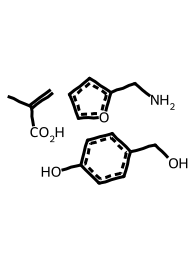 C=C(C)C(=O)O.NCc1ccco1.OCc1ccc(O)cc1